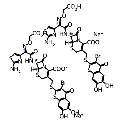 Nc1nc(/C(=N/OCC(=O)O)C(=O)N[C@@H]2C(=O)N3C(C(=O)[O-])=C(CSc4sc5cc(O)c(O)cc5c(=O)c4Br)CS[C@H]23)cs1.Nc1nc(/C(=N/OCC(=O)O)C(=O)N[C@@H]2C(=O)N3C(C(=O)[O-])=C(CSc4sc5cc(O)c(O)cc5c(=O)c4Br)CS[C@H]23)cs1.[Na+].[Na+]